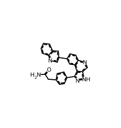 NC(=O)Cc1ccc(-c2n[nH]c3cnc4ccc(-c5cnc6ccccc6c5)cc4c23)cc1